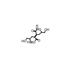 O=C(O)/C(CC(O)CO)=C(\CC(O)CO)C(=O)O